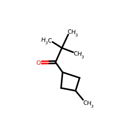 CC1CC(C(=O)C(C)(C)C)C1